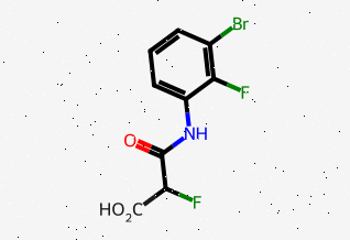 O=C(O)C(F)C(=O)Nc1cccc(Br)c1F